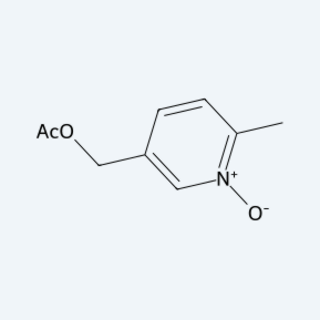 CC(=O)OCc1ccc(C)[n+]([O-])c1